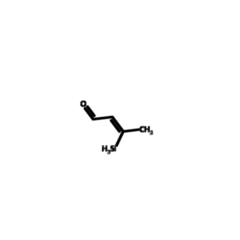 CC([SiH3])=CC=O